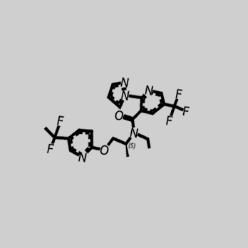 CCN(C(=O)c1cc(C(F)(F)F)cnc1-n1cccn1)[C@@H](C)COc1ccc(C(C)(F)F)cn1